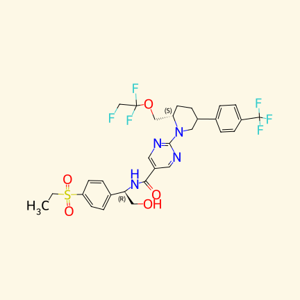 CCS(=O)(=O)c1ccc([C@H](CO)NC(=O)c2cnc(N3CC(c4ccc(C(F)(F)F)cc4)CC[C@H]3COC(F)(F)CF)nc2)cc1